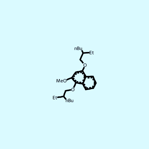 CCCCC(CC)COc1cc(OC)c(OCC(CC)CCCC)c2ccccc12